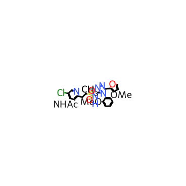 COc1cccc(OC)c1-n1c(NS(=O)(=O)C(C)Cc2ncc(Cl)cc2NC(C)=O)nnc1-c1ccco1